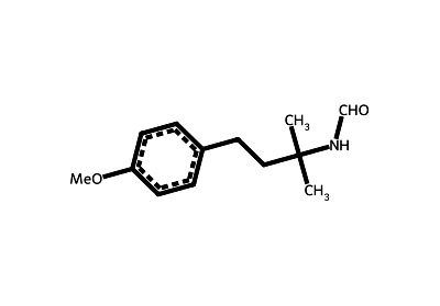 COc1ccc(CCC(C)(C)NC=O)cc1